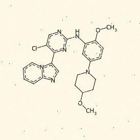 COc1ccc(N2CCC(OC)CC2)cc1Nc1ncc(Cl)c(-c2cnc3ccccn23)n1